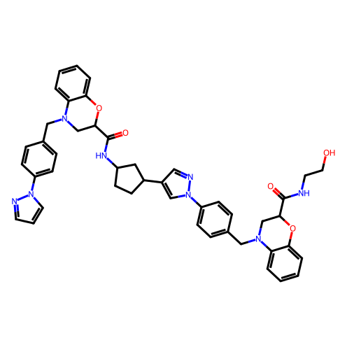 O=C(NCCO)C1CN(Cc2ccc(-n3cc(C4CCC(NC(=O)C5CN(Cc6ccc(-n7cccn7)cc6)c6ccccc6O5)C4)cn3)cc2)c2ccccc2O1